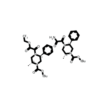 C[C@@H]1CN(C(=O)C(=O)OCC(F)(F)F)[C@@H](c2ccccc2)CN1C(=O)OC(C)(C)C.C[C@@H]1CN(C(=O)C(N)=O)[C@@H](c2ccccc2)CN1C(=O)OC(C)(C)C